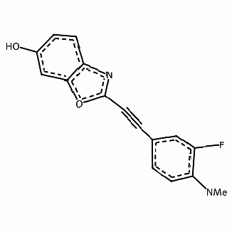 CNc1ccc(C#Cc2nc3ccc(O)cc3o2)cc1F